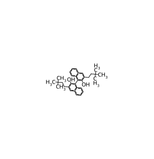 CC(C)(C)CCc1cc2ccccc2c(-c2c(O)c(CCC(C)(C)C)cc3ccccc23)c1O